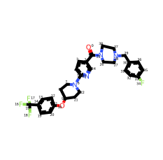 O=C(c1ccc(N2CCC(Oc3ccc(C(F)(F)F)cc3)CC2)nc1)N1CCN(Cc2ccc(F)cc2)CC1